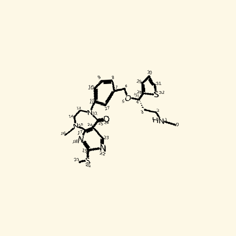 CNCC[C@H](OCc1cccc(N2CCN(C)c3nc(SC)ncc3C2=O)c1)c1cccs1